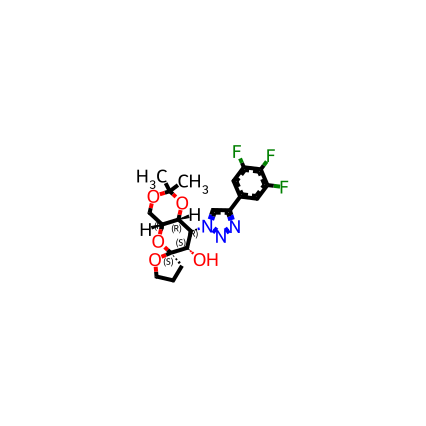 CC1(C)OC[C@H]2O[C@@]3(CCCO3)[C@@H](O)[C@@H](n3cc(-c4cc(F)c(F)c(F)c4)nn3)[C@H]2O1